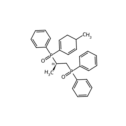 CC1C=CC(P(=O)(c2ccccc2)[C@H](C)CP(=O)(c2ccccc2)c2ccccc2)=CC1